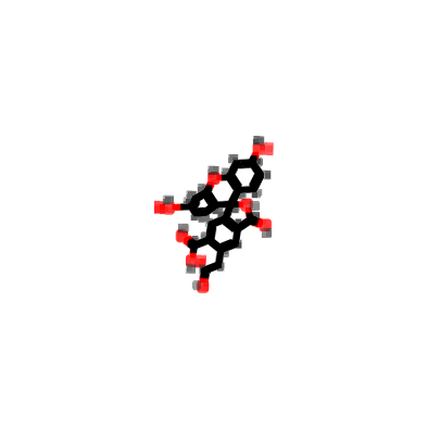 O=[C]Cc1cc2c(cc1C(=O)O)C1(OC2=O)c2ccc(O)cc2Oc2cc(O)ccc21